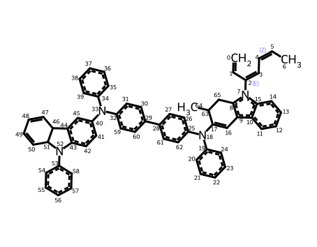 C=C/C(=C\C=C/C)n1c2c(c3ccccc31)C=C(N(c1ccccc1)c1ccc(-c3ccc(N(c4ccccc4)c4ccc5c(c4)C4C=CC=CC4N5c4ccccc4)cc3)cc1)C(C)C2